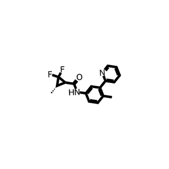 Cc1ccc(NC(=O)C2[C@H](C)C2(F)F)cc1-c1ccccn1